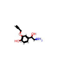 C#CCOc1cc(C(O)CN)ccc1O